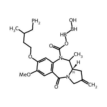 C=C1C[C@H]2C(C)N(C(=O)OBBO)c3cc(OCCC(C)CP)c(OC)cc3C(=O)N2C1